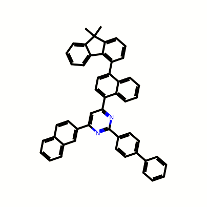 CC1(C)c2ccccc2-c2c(-c3ccc(-c4cc(-c5ccc6ccccc6c5)nc(-c5ccc(-c6ccccc6)cc5)n4)c4ccccc34)cccc21